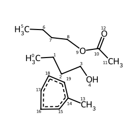 CCCCO.CCCCOC(C)=O.Cc1ccccc1